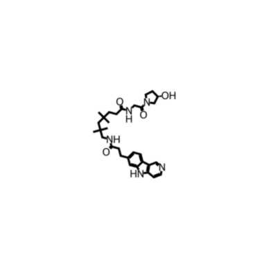 CC(C)(CCC(=O)NCC(=O)N1CC[C@@H](O)C1)CC(C)(C)CNC(=O)CCc1ccc2c(c1)[nH]c1ccncc12